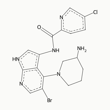 NC1CCCN(c2c(Br)cnc3[nH]cc(NC(=O)c4ccc(Cl)cn4)c23)C1